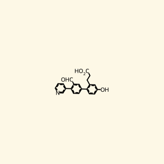 O=Cc1cc(-c2ccc(O)cc2CCC(=O)O)ccc1-c1cccnc1